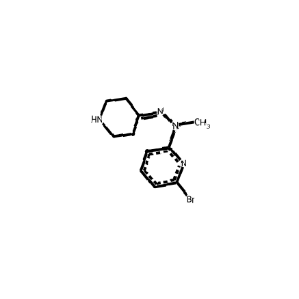 CN(N=C1CCNCC1)c1cccc(Br)n1